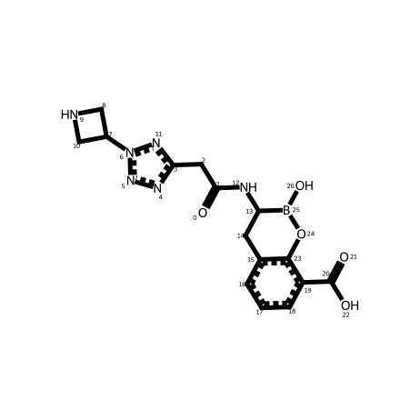 O=C(Cc1nnn(C2CNC2)n1)NC1Cc2cccc(C(=O)O)c2OB1O